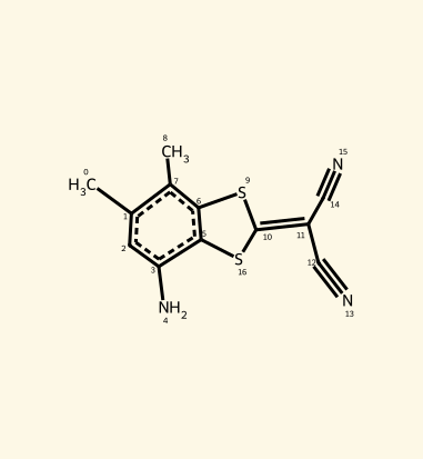 Cc1cc(N)c2c(c1C)SC(=C(C#N)C#N)S2